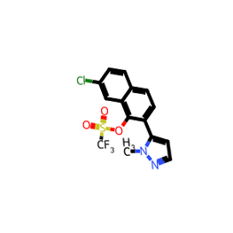 Cn1nccc1-c1ccc2ccc(Cl)cc2c1OS(=O)(=O)C(F)(F)F